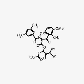 COc1cccc(C(=O)N(C(=O)OC(OC(=O)C(C)(C)C)C(=O)N(C(C)C)C(C)C)N(C(=O)c2cc(C)cc(C)c2)C(C)(C)C)c1C